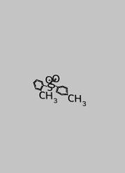 Cc1ccc(S(=O)(=O)Sc2ccccc2C)cc1